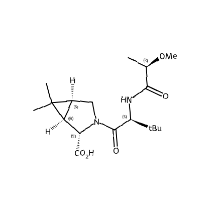 CO[C@H](C)C(=O)N[C@H](C(=O)N1C[C@H]2[C@@H]([C@H]1C(=O)O)C2(C)C)C(C)(C)C